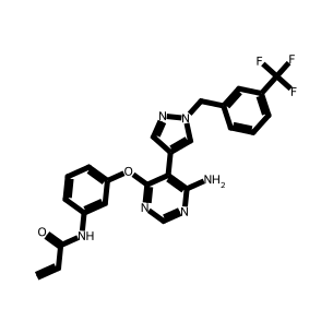 C=CC(=O)Nc1cccc(Oc2ncnc(N)c2-c2cnn(Cc3cccc(C(F)(F)F)c3)c2)c1